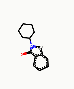 O=c1c2ccccc2[se]n1C1CCCCC1